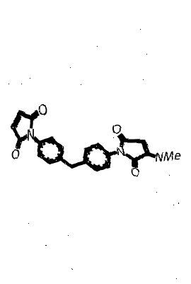 CNC1CC(=O)N(c2ccc(Cc3ccc(N4C(=O)C=CC4=O)cc3)cc2)C1=O